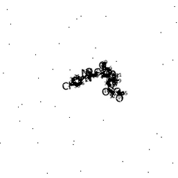 COc1ccc([C@@H]2CN(C(=O)[C@H](C)OC(C)=O)C[C@@]2(C)[C@@H](C)O)cc1OCc1nc(-c2ccc(Cl)cc2)no1